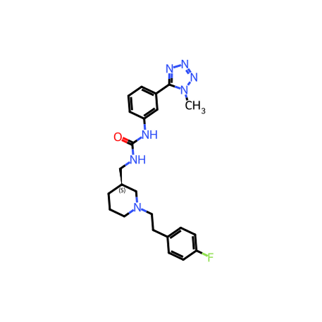 Cn1nnnc1-c1cccc(NC(=O)NC[C@@H]2CCCN(CCc3ccc(F)cc3)C2)c1